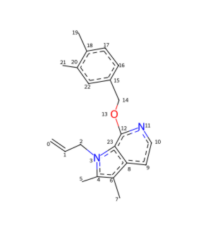 C=CCn1c(C)c(C)c2ccnc(OCc3ccc(C)c(C)c3)c21